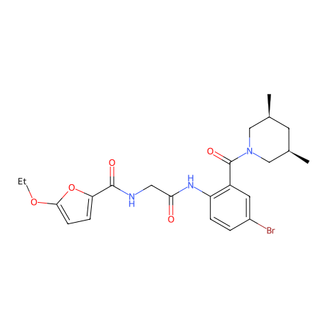 CCOc1ccc(C(=O)NCC(=O)Nc2ccc(Br)cc2C(=O)N2C[C@H](C)C[C@H](C)C2)o1